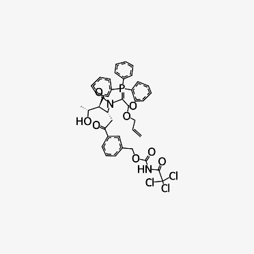 C=CCOC(=O)C(N1C(=O)[C@H]([C@@H](C)O)[C@H]1CC(=O)c1cccc(COC(=O)NC(=O)C(Cl)(Cl)Cl)c1)=P(c1ccccc1)(c1ccccc1)c1ccccc1